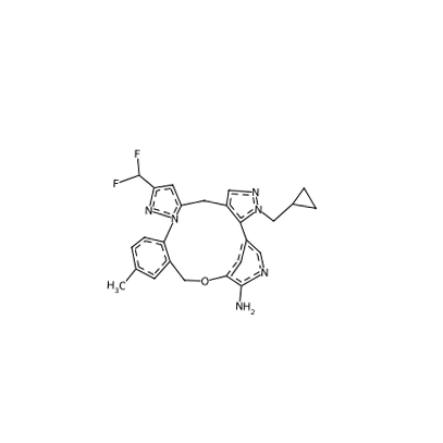 Cc1ccc2c(c1)COc1cc(cnc1N)-c1c(cnn1CC1CC1)Cc1cc(C(F)F)nn1-2